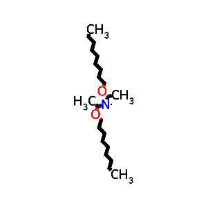 CCCCCCCCCOC(C)[N]C(C)OCCCCCCCCC